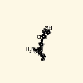 COC1CCN(c2cc3nc(-c4ccc(C#Cc5ccc(C(=O)N6CCCC[C@H]6C(=O)O)cc5Cl)cc4)cc(C(=O)NN)c3cn2)C1